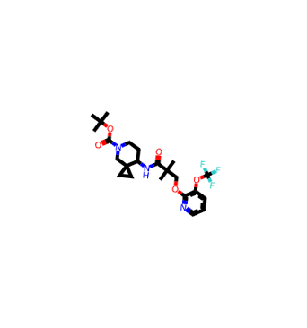 CC(C)(C)OC(=O)N1CCC(NC(=O)C(C)(C)COc2ncccc2OC(F)(F)F)C2(CC2)C1